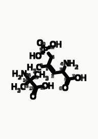 CC(=CC(N)C(=O)O)CP(=O)(O)O.CC(C)(N)C(=O)O